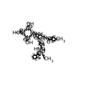 CCCNC(=O)C(Cc1csc2ccccc12)NC(=O)c1cc(CNC(=O)C(CCCCNC(=O)c2ccc(C)cc2)NC(=O)CN2CCN(CC(=O)O)CCN(CC(=O)O)CCN(CC(=O)O)CC2)on1